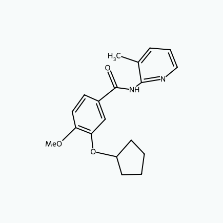 COc1ccc(C(=O)Nc2ncccc2C)cc1OC1CCCC1